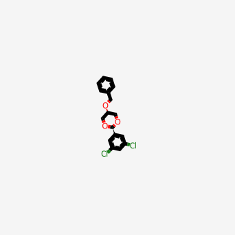 Clc1cc(Cl)cc([C@H]2OC[C@@H](OCc3ccccc3)CO2)c1